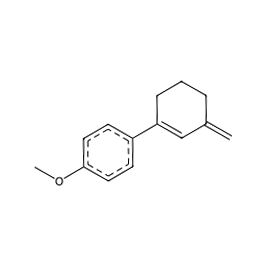 C=C1C=C(c2ccc(OC)cc2)CCC1